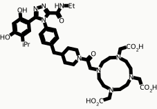 CCNC(=O)c1nnc(-c2cc(C(C)C)c(O)cc2O)n1-c1ccc(CC2CCN(C(=O)CN3CCN(CC(=O)O)CCN(CC(=O)O)CCN(CC(=O)O)CC3)CC2)cc1